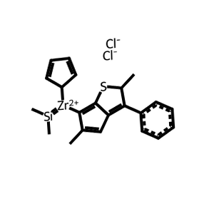 CC1=CC2=C(c3ccccc3)C(C)SC2=[C]1[Zr+2]([CH]1C=CC=C1)=[Si](C)C.[Cl-].[Cl-]